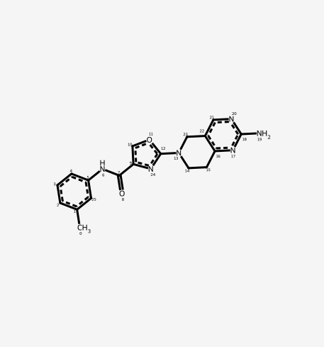 Cc1cccc(NC(=O)c2coc(N3CCc4nc(N)ncc4C3)n2)c1